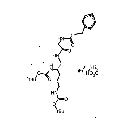 CC(C)C.C[C@H](NC(=O)OCc1ccccc1)C(=O)NC[C@H](CCCNC(=O)OC(C)(C)C)NC(=O)OC(C)(C)C.NC(=O)O